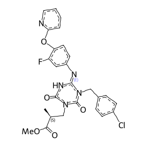 COC(=O)[C@@H](C)Cn1c(=O)[nH]/c(=N\c2ccc(Oc3ccccn3)c(F)c2)n(Cc2ccc(Cl)cc2)c1=O